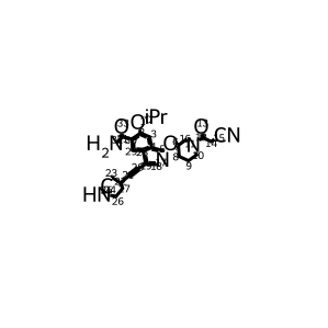 CC(C)Oc1cc2c(OC3CCCN(C(=O)CC#N)C3)ncc(C#CC3CCNCC3)c2cc1C(N)=O